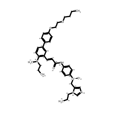 CCCCOCCOc1ccc(-c2ccc(N(C)CCC)c(C=CC(=O)Nc3ccc([S@@+]([O-])Cc4cncn4CCC)cc3)c2)cc1